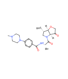 CC[C@H](C)[C@H](NC(=O)c1ccc(N2CCN(C)CC2)cc1)C(=O)N1C[C@H](SC)[C@H]2OCC(=O)[C@H]21